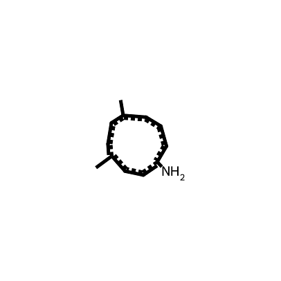 Cc1cccc(N)ccc(C)cc1